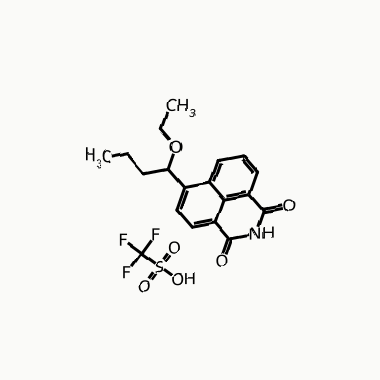 CCCC(OCC)c1ccc2c3c(cccc13)C(=O)NC2=O.O=S(=O)(O)C(F)(F)F